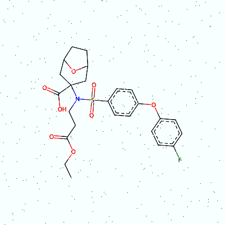 CCOC(=O)CCN(C1(C(=O)O)CC2CCC(C1)O2)S(=O)(=O)c1ccc(Oc2ccc(F)cc2)cc1